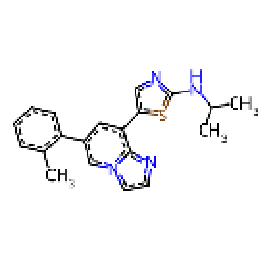 Cc1ccccc1-c1cc(-c2cnc(NC(C)C)s2)c2nccn2c1